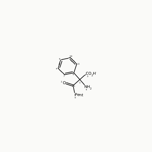 CCCC(C)C(=O)C(N)(C(=O)O)c1ccccc1